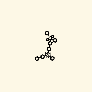 c1ccc(-c2ccc(-c3nc(-c4ccccc4)nc(-c4ccc(-c5ccc6c(c5)-c5ccccc5C65c6ccccc6N(c6ccccc6)c6ccccc65)cc4)n3)cc2)cc1